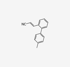 Cc1ccc(-c2ccccc2C=CC#N)cc1